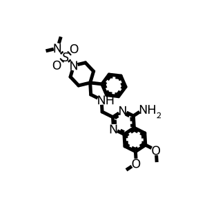 COc1cc2nc(CNCC3(c4ccccc4)CCN(S(=O)(=O)N(C)C)CC3)nc(N)c2cc1OC